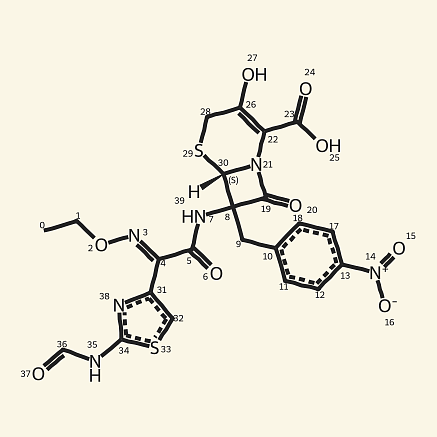 CCON=C(C(=O)NC1(Cc2ccc([N+](=O)[O-])cc2)C(=O)N2C(C(=O)O)=C(O)CS[C@H]21)c1csc(NC=O)n1